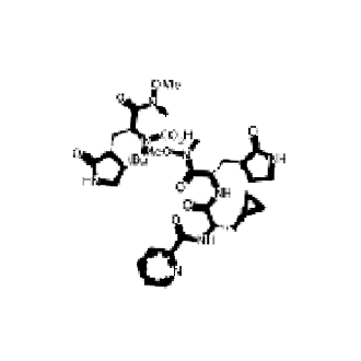 CON(C)C(=O)[C@H](C[C@@H]1CCNC1=O)N(C(=O)O)C(C)(C)C.CON(C)C(=O)[C@H](C[C@@H]1CCNC1=O)NC(=O)[C@H](CC1CC1)NC(=O)c1ccccn1